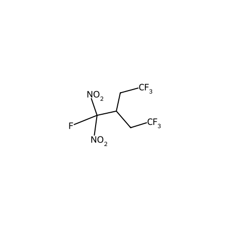 O=[N+]([O-])C(F)(C(CC(F)(F)F)CC(F)(F)F)[N+](=O)[O-]